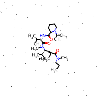 CCCN(C)C(=O)/C(C)=C/[C@H](C(C)C)N(C)C(=O)[C@@H](NC(=O)C1CCCCN1C(C)C)C(C)C